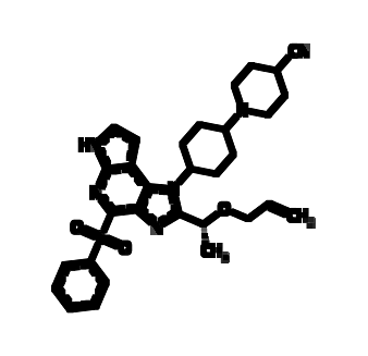 C=CCO[C@H](C)c1nc2c(S(=O)(=O)c3ccccc3)nc3[nH]ccc3c2n1C1CCC(N2CCC(C#N)CC2)CC1